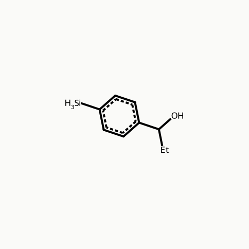 CCC(O)c1ccc([SiH3])cc1